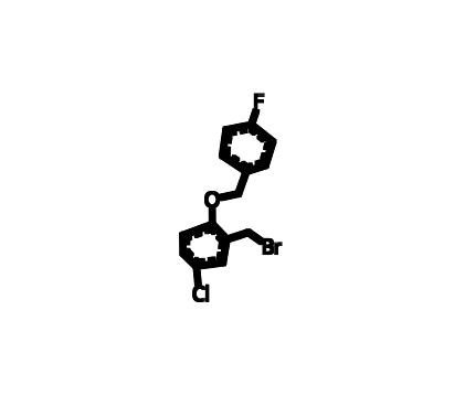 Fc1ccc(COc2ccc(Cl)cc2CBr)cc1